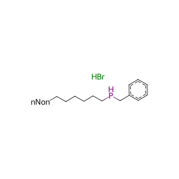 Br.CCCCCCCCCCCCCCCPCc1ccccc1